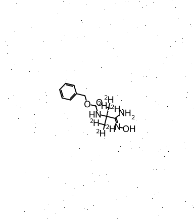 [2H]C([2H])([2H])C(NC(=O)OCc1ccccc1)(/C(N)=N/O)C([2H])([2H])[2H]